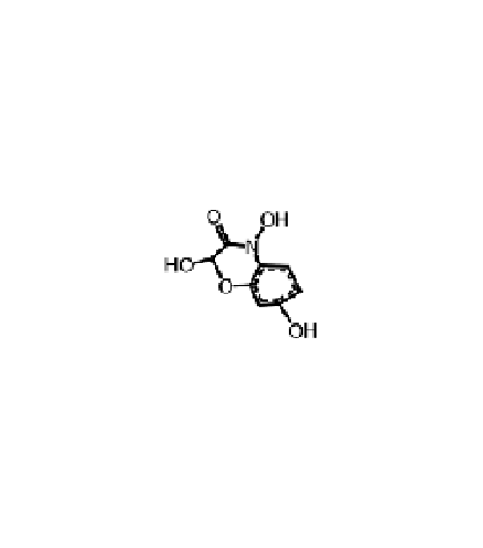 O=C1C(O)Oc2cc(O)ccc2N1O